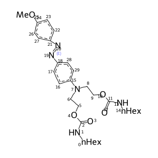 CCCCCCNC(=O)OCCN(CCOC(=O)NCCCCCC)c1ccc(/N=N/c2ccc(OC)cc2)cc1